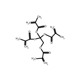 C=C(C)C(=O)OCC(OC(=O)C(=C)C)(OC(=O)C(=C)C)OC(=O)C(=C)C